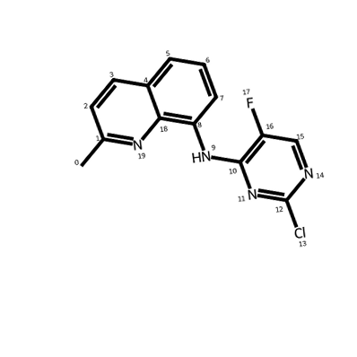 Cc1ccc2cccc(Nc3nc(Cl)ncc3F)c2n1